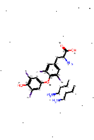 CCCCN.CCCCN.N[C@@H](Cc1cc(I)c(Oc2cc(I)c(O)c(I)c2)c(I)c1)C(=O)O